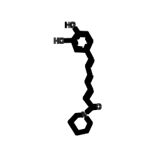 O=C(/C=C/C=C/C=C/c1ccc(O)c(O)c1)N1CCCCC1